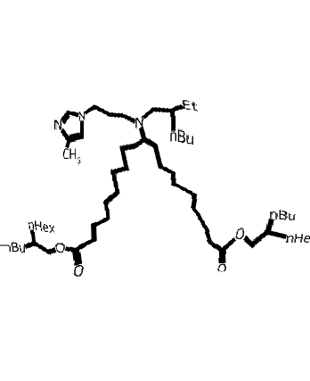 CCCCCCC(CCCC)COC(=O)CCCCCCCCC(CCCCCCCCC(=O)OCC(CCCC)CCCCCC)N(CCCn1cnc(C)c1)CC(CC)CCCC